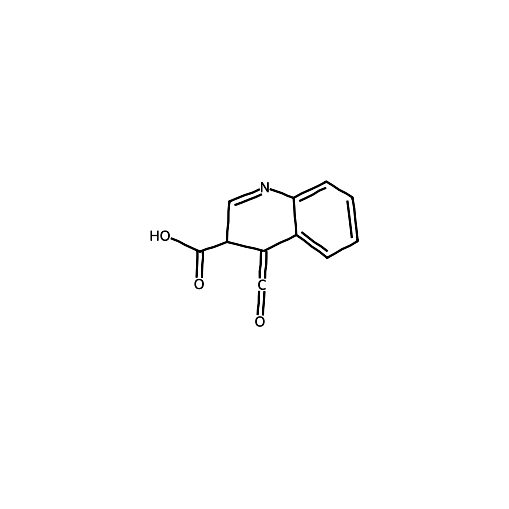 O=C=C1c2ccccc2N=CC1C(=O)O